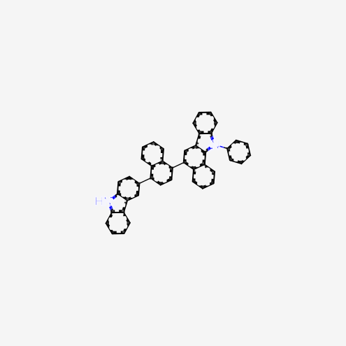 c1ccc(-n2c3ccccc3c3cc(-c4ccc(-c5ccc6[nH]c7ccccc7c6c5)c5ccccc45)c4ccccc4c32)cc1